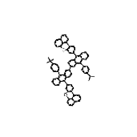 CC(C)c1ccc(-c2c3ccccc3c(-c3ccc4c(c3)Oc3cccc5cccc-4c35)c3ccc(-c4ccc5c(-c6ccc7c(c6)Oc6cccc8cccc-7c68)c6ccccc6c(-c6ccc(C(C)(C)C)cc6)c5c4)cc23)cc1